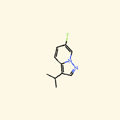 CC(C)c1cnn2cc(F)ccc12